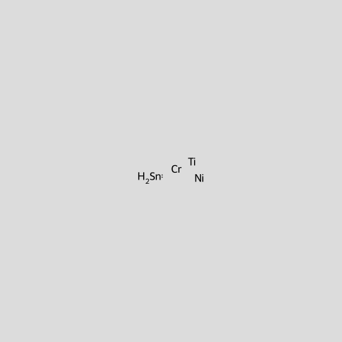 [Cr].[Ni].[SnH2].[Ti]